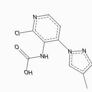 Cc1cnn(-c2ccnc(Cl)c2NC(=O)O)c1